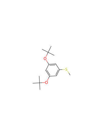 CSc1cc(OC(C)(C)C)cc(OC(C)(C)C)c1